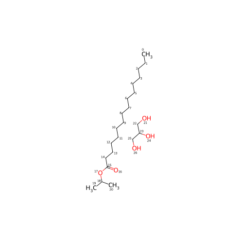 CCCCCCCCCCCCCCCC(=O)OC(C)C.OCC(O)CO